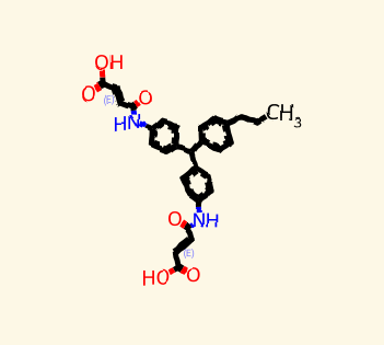 CCCc1ccc(C(c2ccc(NC(=O)/C=C/C(=O)O)cc2)c2ccc(NC(=O)/C=C/C(=O)O)cc2)cc1